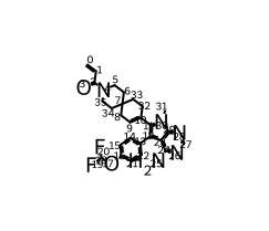 C=CC(=O)N1CCC2(CC=C(c3c(-c4ccc(OC(F)F)cc4)c4c(N)ncnc4n3C)CC2)CC1